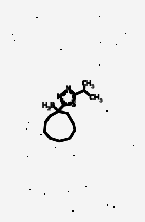 BC1(c2nnc(C(C)C)s2)CCCCCCCCC1